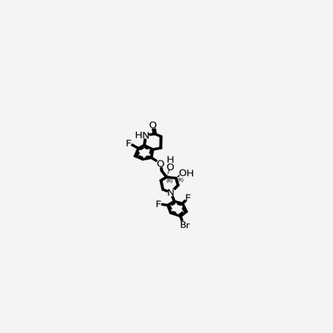 O=C1CCc2c(OC[C@]3(O)CCN(c4c(F)cc(Br)cc4F)C[C@H]3O)ccc(F)c2N1